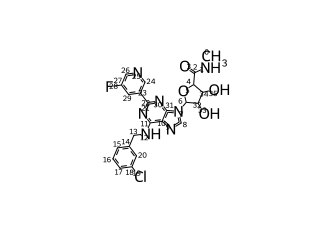 CNC(=O)C1OC(n2cnc3c(NCc4cccc(Cl)c4)nc(-c4cncc(F)c4)nc32)C(O)C1O